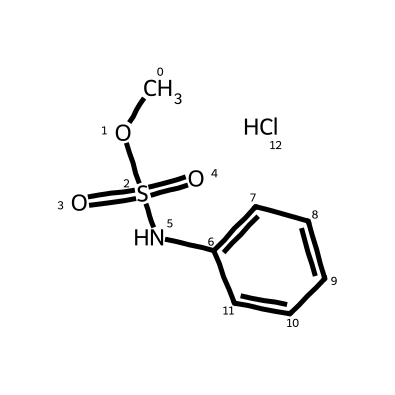 COS(=O)(=O)Nc1ccccc1.Cl